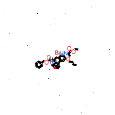 CCCCOc1cc2c(c(Br)c1NC(C)C(=O)OCC)C[C@H]1C3CCCC[C@@]23CCCN1C(=O)OCc1ccccc1